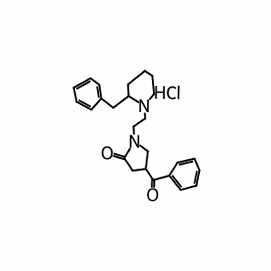 Cl.O=C(c1ccccc1)C1CC(=O)N(CCN2CCCCC2Cc2ccccc2)C1